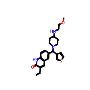 CCc1cc2cc(C(c3ccsc3)N3CCC(NCCOC)CC3)ccc2[nH]c1=O